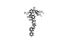 Cc1cnc(Nc2cc(C)n(C)n2)nc1-c1c[nH]c2c(NC(=O)CN3CC[C@H](Oc4nccc(N5CCCCC5)n4)C3)cccc12